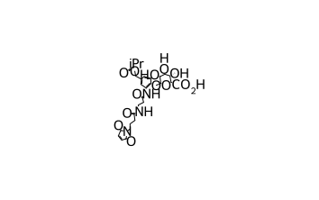 CC(C)C(=O)OCc1ccc(O[C@@H]2O[C@H](C(=O)O)[C@@H](O)[C@H](O)[C@H]2O)c(NC(=O)CCNC(=O)CCCN2C(=O)C=CC2=O)c1